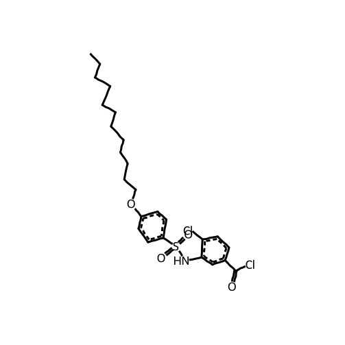 CCCCCCCCCCCCOc1ccc(S(=O)(=O)Nc2cc(C(=O)Cl)ccc2Cl)cc1